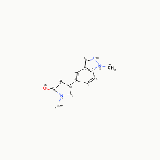 CC(C)N1CC(c2ccc3c(cnn3C)c2)CC1=O